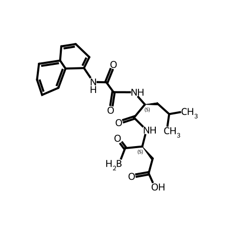 BC(=O)[C@H](CC(=O)O)NC(=O)[C@H](CC(C)C)NC(=O)C(=O)Nc1cccc2ccccc12